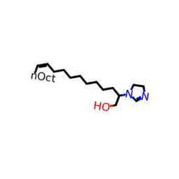 CCCCCCCC/C=C\CCCCCCCCC(CO)N1C=NCC1